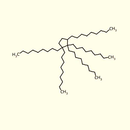 CCCCCCCCCC1CCC(CCCCCCCCC)(CCCCCCCCC)C1(CCCCCCCCC)CCCCCCCCC